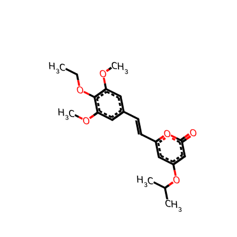 CCOc1c(OC)cc(/C=C/c2cc(OC(C)C)cc(=O)o2)cc1OC